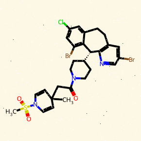 CC1(CC(=O)N2CCC([C@H]3c4ncc(Br)cc4CCc4cc(Cl)cc(Br)c43)CC2)C=CN(S(C)(=O)=O)C=C1